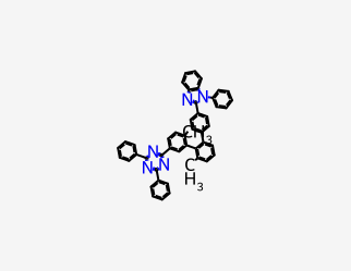 Cc1ccc(-c2nc(-c3ccccc3)nc(-c3ccccc3)n2)cc1-c1c(C)cccc1-c1ccc(-c2nc3ccccc3n2-c2ccccc2)cc1